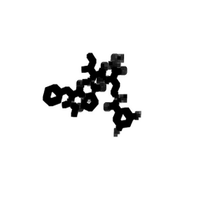 CCC(C)C(C(=O)NC(CCNC(=O)c1cc(F)cc(F)c1)C(=O)NO)N(C)C(=O)[C@@H]1CCCN1C(=O)C(Cc1ccccc1)N(C)C(C)=O